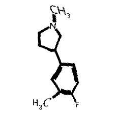 Cc1cc(C2CCN(C)C2)ccc1F